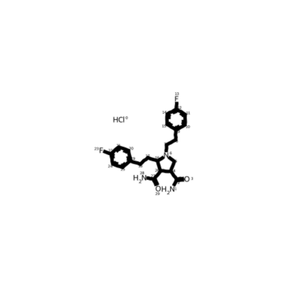 Cl.NC(=O)C1CN(CCc2ccc(F)cc2)C(CCc2ccc(F)cc2)C1C(N)=O